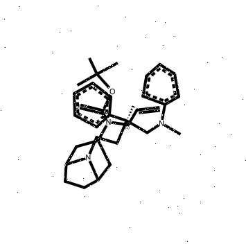 C=CCN(C(=O)OC(C)(C)C)C1CC2CCC(C1)N2CC[C@](C)(CN(C)c1ccccc1)c1ccccc1